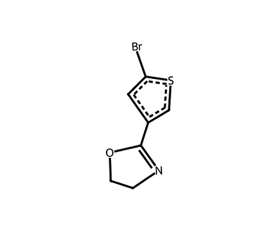 Brc1cc(C2=NCCO2)cs1